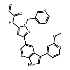 C=CC(=O)Nc1cc(-c2cnc3[nH]cc(-c4ccnc(OC)c4)c3c2)nn1Cc1cccnc1